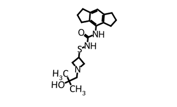 CC(C)(O)CN1CC(SNC(=O)Nc2c3c(cc4c2CCC4)CCC3)C1